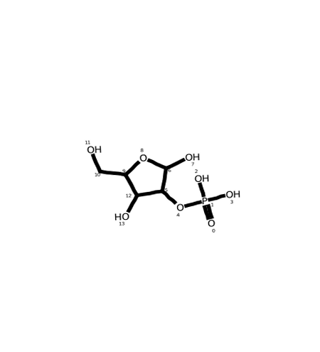 O=P(O)(O)OC1C(O)OC(CO)C1O